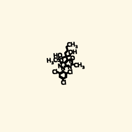 CCCCC(C(=O)O)(C(=O)O)c1nc(C)nc2c1c(SC)nn2-c1c(Cl)cc(Cl)cc1Cl